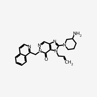 C=CCn1c(N2CCCC(N)C2)nc2cnn(Cc3nccc4ccccc34)c(=O)c21